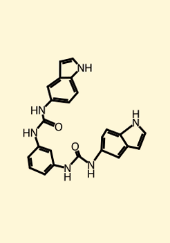 O=C(Nc1cccc(NC(=O)Nc2ccc3[nH]ccc3c2)c1)Nc1ccc2[nH]ccc2c1